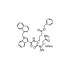 CCCCCC[C@@H](CC(N)=O)N(CCC)C(=O)[C@H](CCCC(=O)OCc1ccccc1)NC(=O)c1cn(Cc2cccc3ccccc23)c2ccccc12